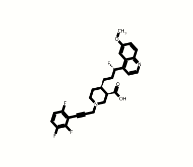 COc1ccc2nccc([C@@H](F)CC[C@@H]3CCN(CC#Cc4c(F)ccc(F)c4F)C[C@@H]3C(=O)O)c2c1